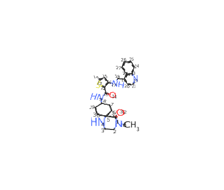 CN1CCNC2(CCC(NC(=O)c3sccc3NCc3ccnc4ccccc34)CC2)C1=O